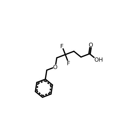 O=C(O)CCC(F)(F)COCc1ccccc1